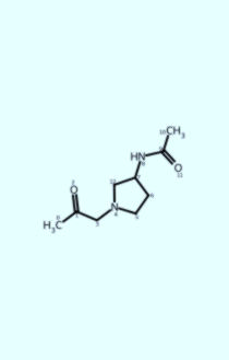 CC(=O)CN1CCC(NC(C)=O)C1